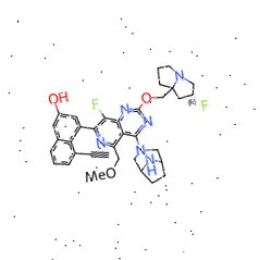 C#Cc1cccc2cc(O)cc(-c3nc(COC)c4c(N5CC6CCC(C5)N6)nc(OCC56CCCN5C[C@H](F)C6)nc4c3F)c12